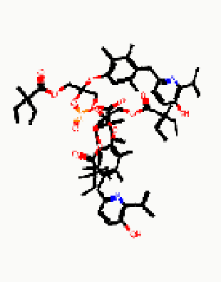 CCC(C)(CC)C(=O)OCC(COC(=O)C(C)(CC)CC)(Oc1cc(C)c(Cc2ccc(O)c(C(C)C)n2)c(C)c1C)O[PH](=O)OC(COC(=O)C(C)(CC)CC)(COC(=O)C(C)(CC)CC)Oc1cc(C)c(Cc2ccc(O)c(C(C)C)n2)c(C)c1C